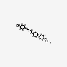 CC[C@H]1CC[C@H](C2CCC(C=CC#Cc3ccc(Cl)cc3)CC2)CC1